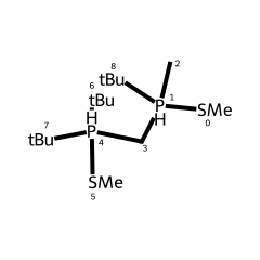 CS[PH](C)(C[PH](SC)(C(C)(C)C)C(C)(C)C)C(C)(C)C